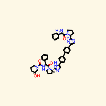 N[C@@H](C(=O)N1CCC[C@H]1c1ncc(-c2ccc(-c3ccc(-c4cnc([C@@H]5CCCN5C(=O)[C@H](NC(=O)N5CCC[C@H](O)C5)c5ccccc5)[nH]4)cc3)cc2)[nH]1)c1ccccc1